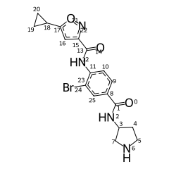 O=C(NC1CCNC1)c1ccc(NC(=O)c2cc(C3CC3)on2)c(Br)c1